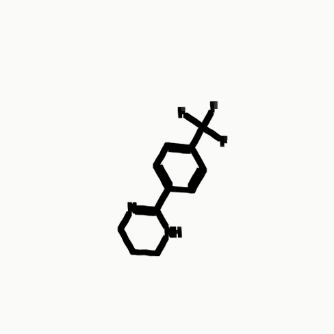 FC(F)(F)c1ccc(C2=NCCCN2)cc1